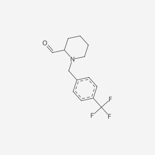 O=CC1CCCCN1Cc1ccc(C(F)(F)F)cc1